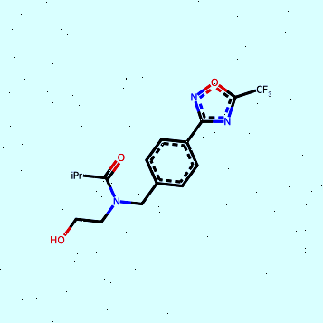 CC(C)C(=O)N(CCO)Cc1ccc(-c2noc(C(F)(F)F)n2)cc1